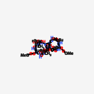 CCCCOC1[C@H]2C=C(C)N(CC(=O)NCCN(CCOCCOCCOC)CCNC(=O)CN3C(C)=C[C@H](C(OCCCC)[C@H]3O)[C@@H](O)NCCN(CC(O)CN3CCNC(=O)C4=CCC[C@@H](C(=O)NCCN(CCOCCOCCOC)CCNC(=O)C5CCC=C(C(=O)NCC3)[C@H]5OCCCC)C4OCCCC)CCN[C@@H]2O)[C@@H]1O